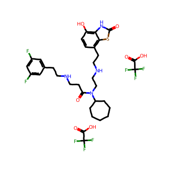 O=C(CCNCCc1cc(F)cc(F)c1)N(CCNCCc1ccc(O)c2[nH]c(=O)sc12)C1CCCCCC1.O=C(O)C(F)(F)F.O=C(O)C(F)(F)F